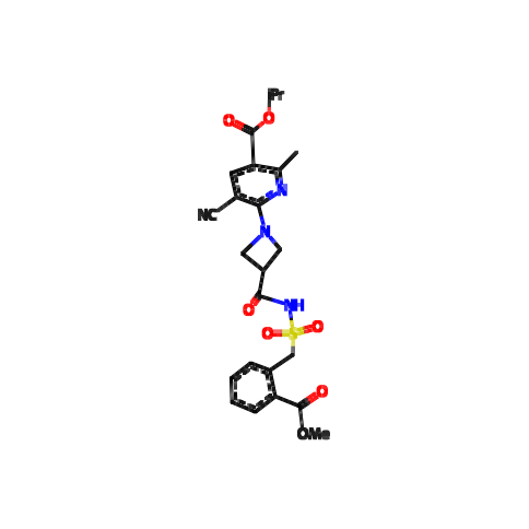 COC(=O)c1ccccc1CS(=O)(=O)NC(=O)C1CN(c2nc(C)c(C(=O)OC(C)C)cc2C#N)C1